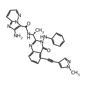 C[C@H](NC(=O)c1c(N)nc2cccnn12)c1nc2cccc(C#Cc3cnn(C)c3)c2c(=O)n1Nc1ccccc1